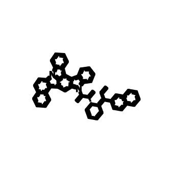 C=C/C(=C1/C=CC=C[C@@H]1C(=C)C(=C)n1c2ccccc2c2c3c4ccccc4n4c5ccc6ccccc6c5c(cc21)c34)c1ccc2ccccc2c1